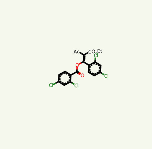 CCOC(=O)C(C(C)=O)=C(OC(=O)c1ccc(Cl)cc1Cl)c1ccc(Cl)cc1Cl